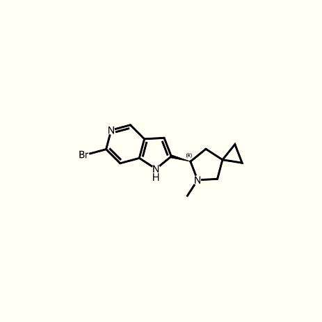 CN1CC2(CC2)C[C@@H]1c1cc2cnc(Br)cc2[nH]1